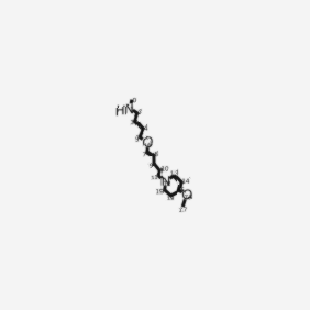 CNCCCCOCCCCCN1CCC(OC)CC1